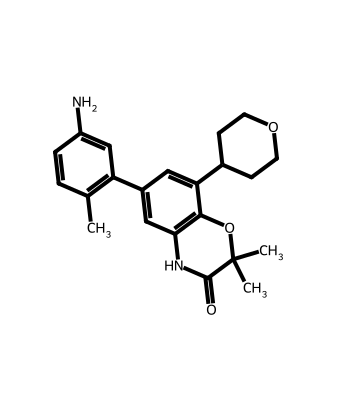 Cc1ccc(N)cc1-c1cc2c(c(C3CCOCC3)c1)OC(C)(C)C(=O)N2